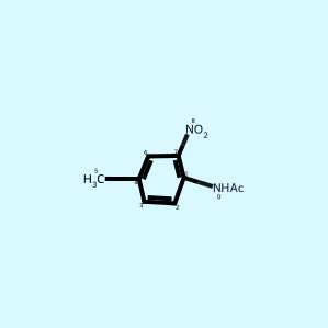 CC(=O)Nc1ccc(C)cc1[N+](=O)[O-]